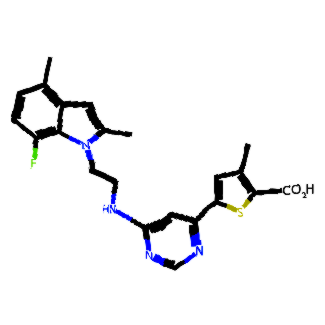 Cc1cc(-c2cc(NCCn3c(C)cc4c(C)ccc(F)c43)ncn2)sc1C(=O)O